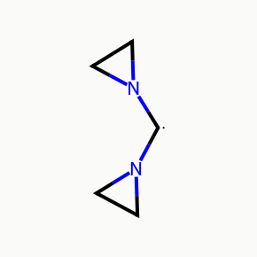 [CH](N1CC1)N1CC1